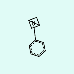 c1ccc(N2CC3CC2C3)cc1